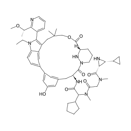 CCn1c(-c2cccnc2[C@H](C)OC)c2c3cc(ccc31)-c1cc(O)cc(c1)C[C@H](NC(=O)C(C1CCCC1)N(C)C(=O)CN(C)C(=O)[C@@H]1N[C@@H]1C1CC1)C(=O)N1CCC[C@H](N1)C(=O)OCC(C)(C)C2